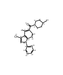 Cc1c(C(=O)N2CCC(F)CC2)cnc2c1c(Cl)cn2-c1cnccn1